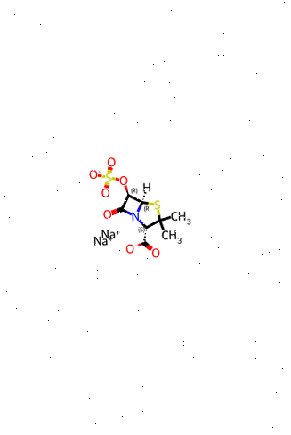 CC1(C)S[C@@H]2[C@H](OS(=O)(=O)[O-])C(=O)N2[C@H]1C(=O)[O-].[Na+].[Na+]